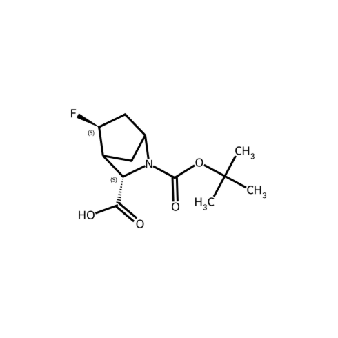 CC(C)(C)OC(=O)N1C2CC([C@H]1C(=O)O)[C@@H](F)C2